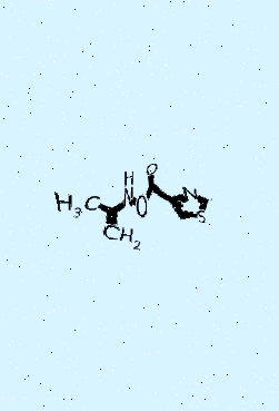 C=C(C)NOC(=O)c1cs[c]n1